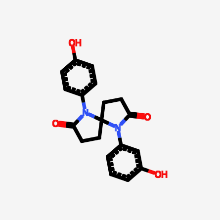 O=C1CCC2(CCC(=O)N2c2cccc(O)c2)N1c1ccc(O)cc1